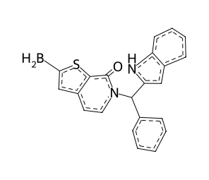 Bc1cc2ccn(C(c3ccccc3)c3cc4ccccc4[nH]3)c(=O)c2s1